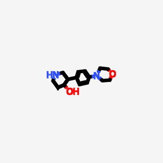 OC1[CH]CNCC1c1ccc(N2CCOCC2)cc1